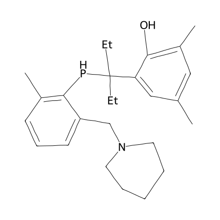 CCC(CC)(Pc1c(C)cccc1CN1CCCCC1)c1cc(C)cc(C)c1O